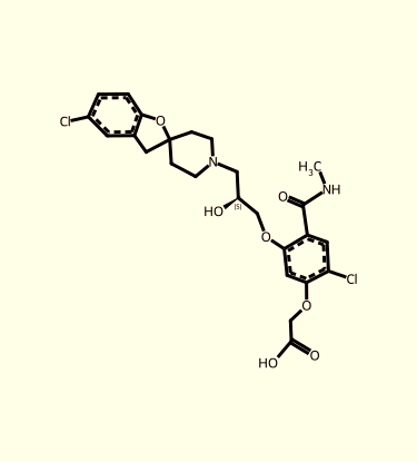 CNC(=O)c1cc(Cl)c(OCC(=O)O)cc1OC[C@@H](O)CN1CCC2(CC1)Cc1cc(Cl)ccc1O2